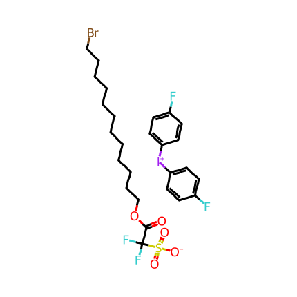 Fc1ccc([I+]c2ccc(F)cc2)cc1.O=C(OCCCCCCCCCCCCBr)C(F)(F)S(=O)(=O)[O-]